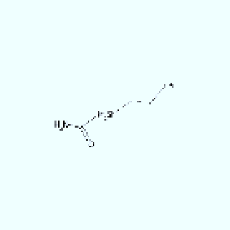 CCCCC[SiH2]CC(N)=O